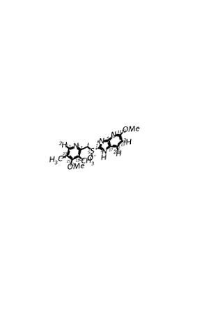 [2H]c1nc(C[S+]([O-])c2nc3nc(OC)c([2H])c([2H])c3[nH]2)c(C)c(OC)c1C